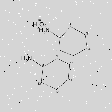 NC1CCCCC1.NC1CCCCC1.O